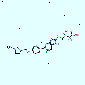 CN1CCC(COc2ccc(-c3nc4nc(O[C@@H]5CO[C@H]6[C@@H]5OC[C@H]6O)[nH]c4cc3Cl)cc2)C1